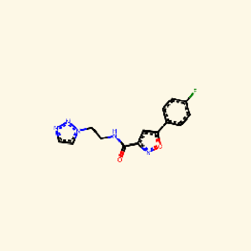 O=C(NCCn1ccnn1)c1cc(-c2ccc(F)cc2)on1